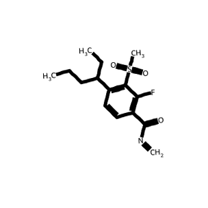 C=NC(=O)c1ccc(C(CC)CCC)c(S(C)(=O)=O)c1F